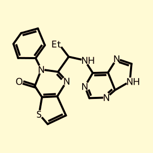 CCC(Nc1ncnc2[nH]cnc12)c1nc2ccsc2c(=O)n1-c1ccccc1